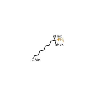 CCCCCCC(P)(CCCCCC)CCCCCCCOC